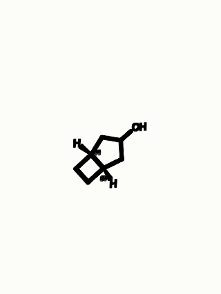 OC1C[C@H]2CC[C@H]2C1